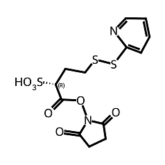 O=C(ON1C(=O)CCC1=O)[C@@H](CCSSc1ccccn1)S(=O)(=O)O